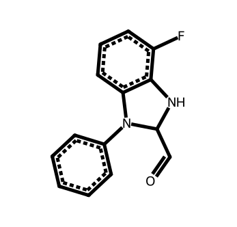 O=CC1Nc2c(F)cccc2N1c1ccccc1